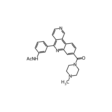 CC(=O)Nc1cccc(-c2nc3cc(C(=O)N4CCN(C)CC4)ccc3c3cnccc23)c1